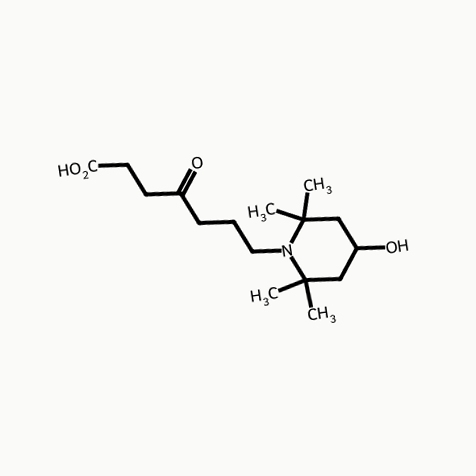 CC1(C)CC(O)CC(C)(C)N1CCCC(=O)CCC(=O)O